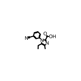 CCc1c(C)nc(C(=O)O)n1-c1cccc(C#N)c1